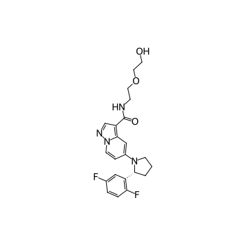 O=C(NCCOCCO)c1cnn2ccc(N3CCC[C@@H]3c3cc(F)ccc3F)cc12